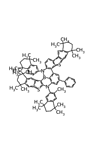 Cc1cc2c(cc1N1c3cc(-c4ccccc4)cc4c3B(c3c1sc1cc5c(cc31)C(C)(C)CCC5(C)C)N(c1ccc3c(c1)C(C)(C)CCC3(C)C)c1ccc3c(sc5cc6c(cc53)C(C)(C)CCC6(C)C)c1-4)C(C)(C)CCC2(C)C